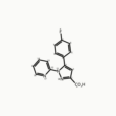 O=C(O)c1cc(-c2ccc(F)cc2)n(-c2ccccn2)n1